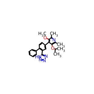 COc1c(C)nc(C)c(OC(C)C)c1-c1ccc(-c2ccccc2)c(-c2nnn[nH]2)c1